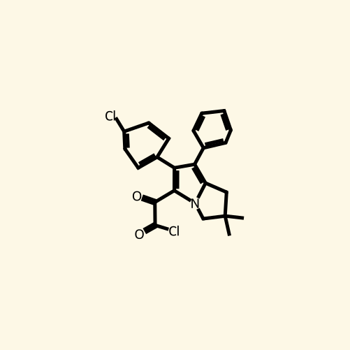 CC1(C)Cc2c(-c3ccccc3)c(-c3ccc(Cl)cc3)c(C(=O)C(=O)Cl)n2C1